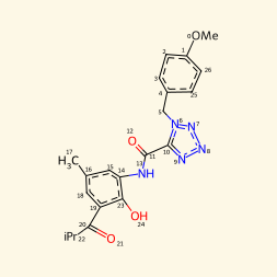 COc1ccc(Cn2nnnc2C(=O)Nc2cc(C)cc(C(=O)C(C)C)c2O)cc1